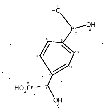 O=C(O)[C@@H](O)c1ccc(B(O)O)cc1